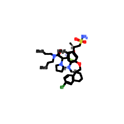 COCCN(CCOC)C(=O)C(/C(F)=C/C[C@H](C)CS(N)(=O)=O)N1CCC[C@H]1N1C[C@@]2(CCCc3cc(Cl)ccc32)COc2ccc(C(=O)O)cc21